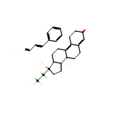 C=C/C=C/c1ccccc1[C@H]1C[C@@]2(C)C(CCC2(O)C(F)(F)C(F)(F)F)[C@@H]2CCC3=CC(=O)CCC3=C21